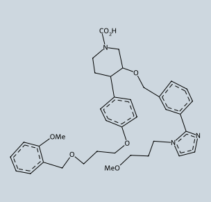 COCCCn1ccnc1-c1cccc(COC2CN(C(=O)O)CCC2c2ccc(OCCCOCc3ccccc3OC)cc2)c1